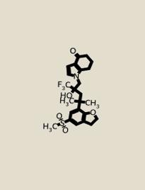 CC(C)(CC(O)(Cn1ccc2c1CCCC2=O)C(F)(F)F)c1cc(S(C)(=O)=O)cc2c1OCC2